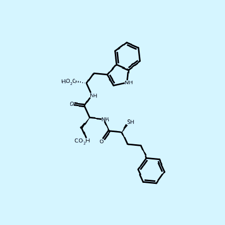 O=C(O)C[C@H](NC(=O)[C@@H](S)CCc1ccccc1)C(=O)N[C@@H](Cc1c[nH]c2ccccc12)C(=O)O